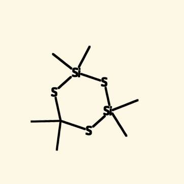 CC1(C)S[Si](C)(C)S[Si](C)(C)S1